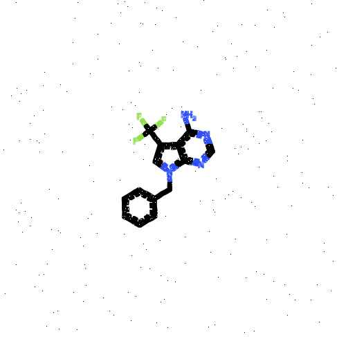 Nc1ncnc2c1c(C(F)(F)F)cn2Cc1ccccc1